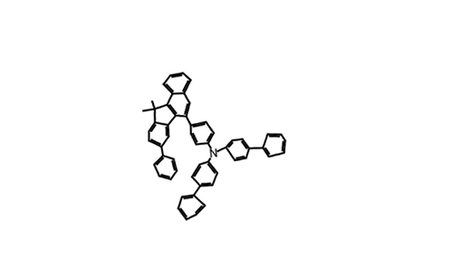 CC1(C)c2ccc(-c3ccccc3)cc2-c2c(-c3ccc(N(c4ccc(-c5ccccc5)cc4)c4ccc(-c5ccccc5)cc4)cc3)cc3ccccc3c21